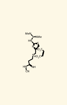 CNN(NC)Nc1nc(CSCCC(=N)NC#N)cs1.O=C(O)/C=C\C(=O)O